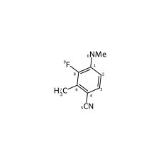 CNc1ccc(C#N)c(C)c1F